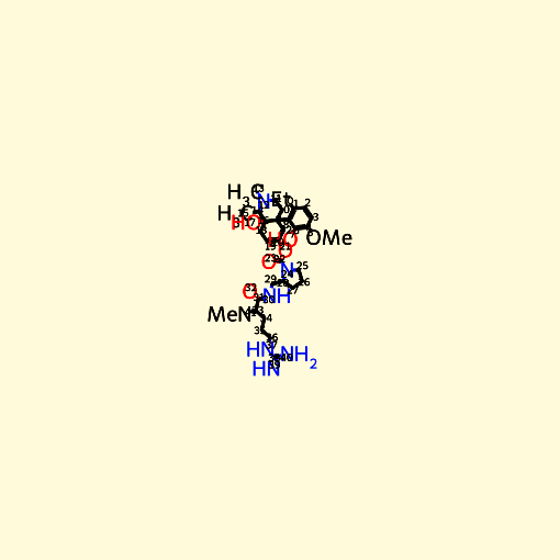 CCc1ccc(OC)c(O)c1C12CCN(C)C(C)C1(O)CC=C(OC(=O)N1CCCC1CNC(=O)C(CCCNC(=N)N)NC)C2